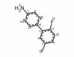 Nc1cnc(-c2cc(F)ccc2F)cn1